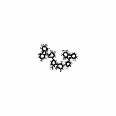 c1cc(-c2ccc3[nH]c4ccc(-c5cccc(-n6c7ccccc7c7ccccc76)c5)cc4c3c2)cc(-n2c3ccccc3c3ccccc32)c1